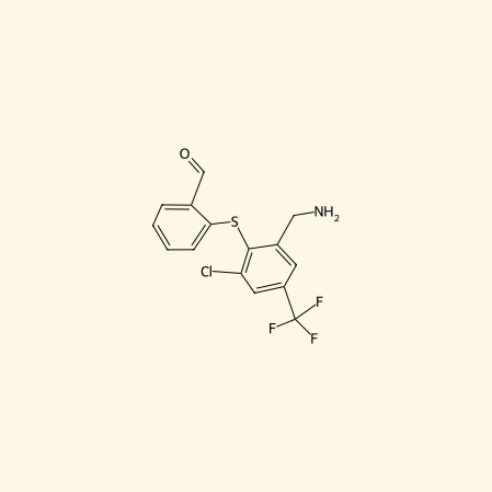 NCc1cc(C(F)(F)F)cc(Cl)c1Sc1ccccc1C=O